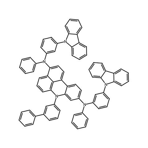 c1ccc(-c2cccc(N3c4cc(N(c5ccccc5)c5cccc(-n6c7ccccc7c7ccccc76)c5)ccc4-c4ccc(N(c5ccccc5)c5cccc(-n6c7ccccc7c7ccccc76)c5)c5cccc3c45)c2)cc1